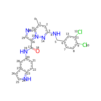 Cc1cc(NCc2ccc(Cl)c(Cl)c2)nn2c(C(=O)Nc3ccc4[nH]ccc4c3)cnc12